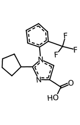 O=C(O)c1cn(-c2ccccc2C(F)(F)F)c(C2CCCC2)n1